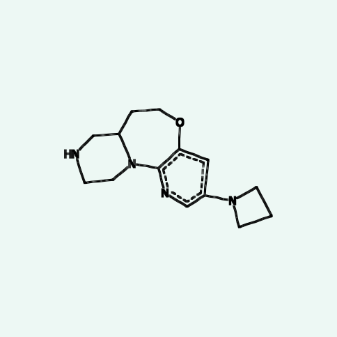 c1nc2c(cc1N1CCC1)OCCC1CNCCN21